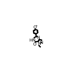 CCn1ncc2c1C(=O)NCC(c1ccc(OC)cc1)=N2